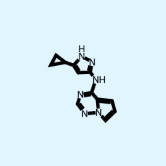 c1cc2c(Nc3cc(C4CC4)[nH]n3)ncnn2c1